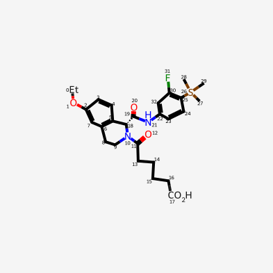 CCOc1ccc2c(c1)CCN(C(=O)CCCCC(=O)O)[C@H]2C(=O)Nc1ccc(S(C)(C)C)c(F)c1